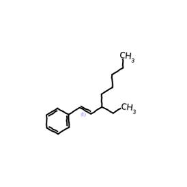 CCCCCC(/C=C/c1ccccc1)CC